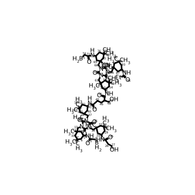 BCC(=O)NC1CC(C)(C)CC(C)(Cn2c(=O)n(CC3(C)CC(NC(=O)CCO)CC(C)(C)C3)c(=O)n(CC3(C)CC(NC(=O)CCC(CO)C(=O)NC4CC(C)(C)CC(C)(Cn5c(=O)n(CC6(C)CC(NC(=O)CB)CC(C)(C)C6)c(=O)n(CC6(C)CC(NC(=O)CC)CC(C)(C)C6)c5=O)C4)CC(C)(C)C3)c2=O)C1